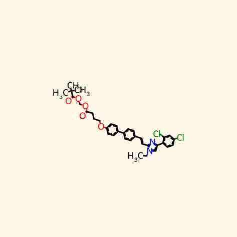 CCn1cc(-c2ccc(Cl)cc2Cl)nc1C=Cc1ccc(-c2ccc(OCCCC(=O)OCOC(=O)C(C)(C)C)cc2)cc1